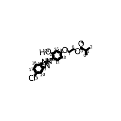 C=C(C)C(=O)OCCOc1ccc(-n2n3c4ccc(Cl)cc4n23)c(O)c1